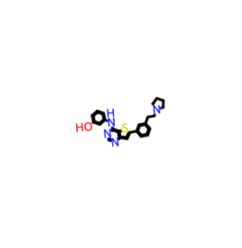 Oc1cccc(Nc2ncnc3cc(-c4cccc(CCN5CCCC5)c4)sc23)c1